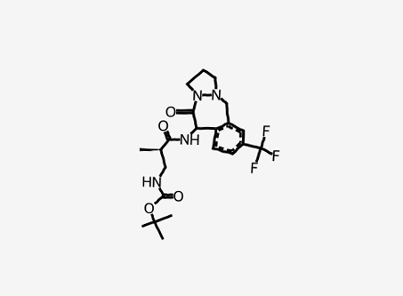 C[C@H](CNC(=O)OC(C)(C)C)C(=O)NC1C(=O)N2CCCN2Cc2cc(C(F)(F)F)ccc21